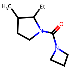 CCC1C(C)CCN1C(=O)N1CCC1